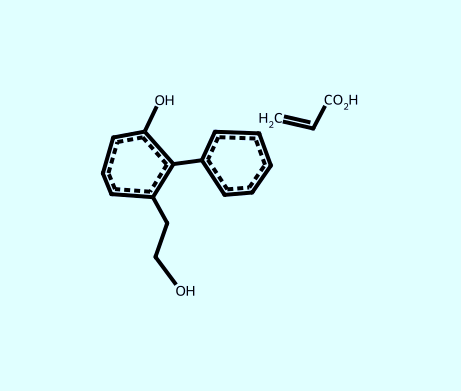 C=CC(=O)O.OCCc1cccc(O)c1-c1ccccc1